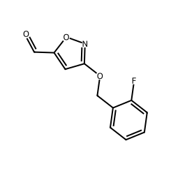 O=Cc1cc(OCc2ccccc2F)no1